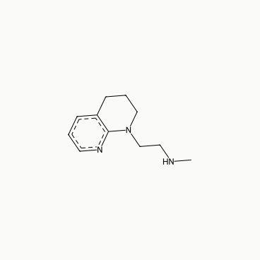 CNCCN1CCCc2cccnc21